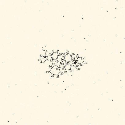 CC[Si](CC)(CC)c1ccc2c(c1)C(C1(C3=CC=CC3)CCCCCC1)c1cc([Si](CC)(CC)CC)ccc1-2